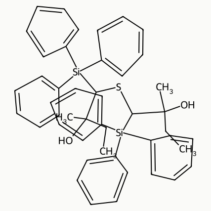 CCC(C)(O)C(SC(C(C)(O)CC)[Si](c1ccccc1)(c1ccccc1)c1ccccc1)[Si](c1ccccc1)(c1ccccc1)c1ccccc1